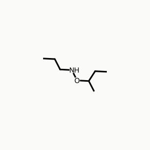 CCCNOC(C)CC